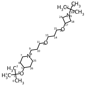 CC(C)(C)OC1CCN(CCCOCCCOC2CN(C(C)(C)C)C2)CC1